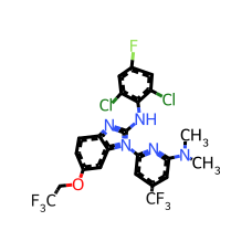 CN(C)c1cc(C(F)(F)F)cc(-n2c(Nc3c(Cl)cc(F)cc3Cl)nc3ccc(OCC(F)(F)F)cc32)n1